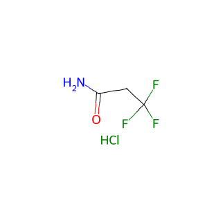 Cl.NC(=O)CC(F)(F)F